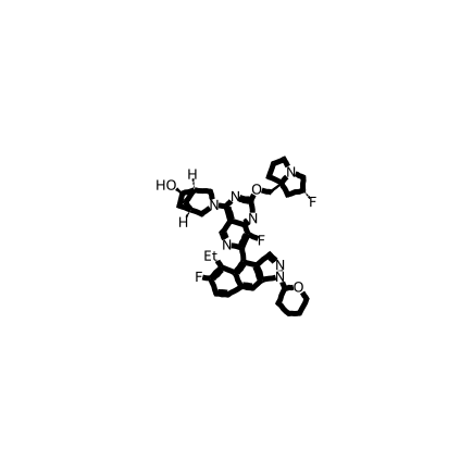 CCc1c(F)ccc2cc3c(cnn3C3CCCCO3)c(-c3ncc4c(N5C[C@@H]6C[C@H](C5)[C@H](O)C6)nc(OC[C@@]56CCCN5C[C@H](F)C6)nc4c3F)c12